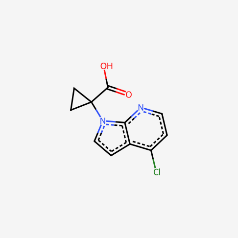 O=C(O)C1(n2ccc3c(Cl)ccnc32)CC1